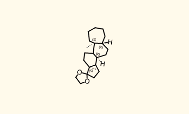 C[C@]12CCC3[C@@H](CC[C@H]4CCCCC[C@]34C)C1CCC21OCCO1